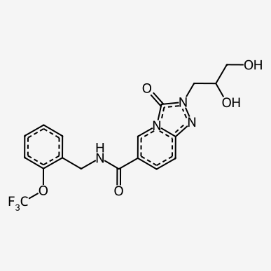 O=C(NCc1ccccc1OC(F)(F)F)c1ccc2nn(CC(O)CO)c(=O)n2c1